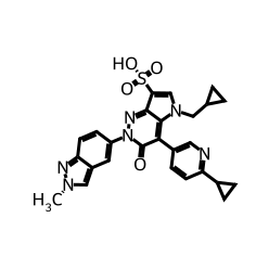 Cn1cc2cc(-n3nc4c(S(=O)(=O)O)cn(CC5CC5)c4c(-c4ccc(C5CC5)nc4)c3=O)ccc2n1